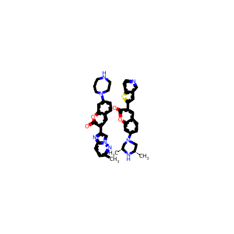 C[C@@H]1CN(c2ccc3cc(-c4cc5cnccc5s4)c(=O)oc3c2)C[C@H](C)N1.Cc1ccc2nc(-c3cc4ccc(N5CCCNCC5)cc4oc3=O)cn2n1